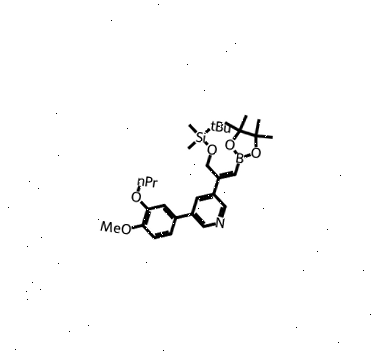 CCCOc1cc(-c2cncc(C(=CB3OC(C)(C)C(C)(C)O3)CO[Si](C)(C)C(C)(C)C)c2)ccc1OC